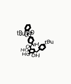 CC(C)(C)c1ccc(Cc2cc(C(=O)Nc3ccc(S(=O)(=O)c4ccccc4C(C)(C)C)cc3)c(O)c(O)c2O)cc1